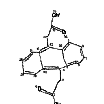 O=C(O)Cc1c2ccccc2c(CC(=O)O)c2ccccc12